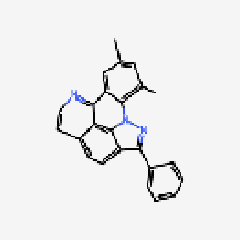 Cc1cc(C)c2c(c1)c1nccc3ccc4c(-c5ccccc5)nn2c4c31